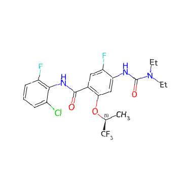 CCN(CC)C(=O)Nc1cc(O[C@@H](C)C(F)(F)F)c(C(=O)Nc2c(F)cccc2Cl)cc1F